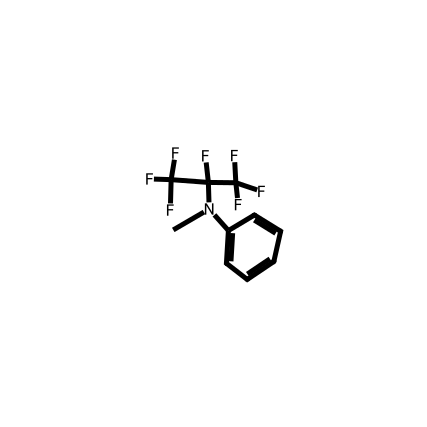 CN(c1ccccc1)C(F)(C(F)(F)F)C(F)(F)F